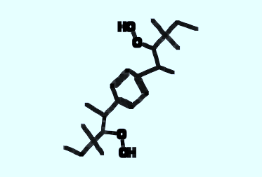 CCC(C)(C)C(OO)C(C)c1ccc(C(C)C(OO)C(C)(C)CC)cc1